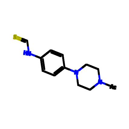 CC(=O)N1CCN(c2ccc(NC=S)cc2)CC1